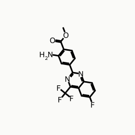 COC(=O)c1ccc(-c2nc(C(F)(F)F)c3cc(F)ccc3n2)cc1N